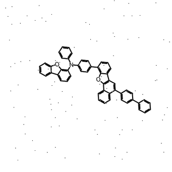 c1ccc(-c2ccc(-c3cc4c5cccc(-c6ccc(N(c7ccccc7)c7cccc8c7oc7ccccc78)cc6)c5oc4c4ccccc34)cc2)cc1